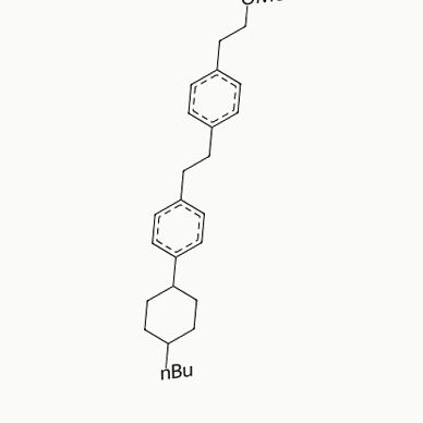 CCCCC1CCC(c2ccc(CCc3ccc(CCOC)cc3)cc2)CC1